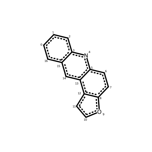 c1ccc2nc3ccc4occc4c3cc2c1